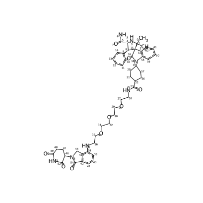 CC1(C)N[C@@H](C(N)=O)[C@H](c2ccccc2)[C@]12C(=O)N(C1CCC(C(=O)NCCOCCOCCOCCNc3cccc4c3CN(C3CCC(=O)NC3=O)C4=O)CC1)c1ccccc12